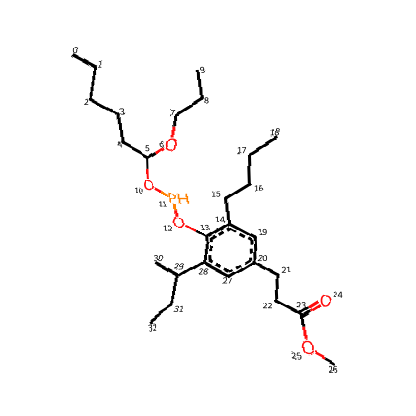 CCCCCC(OCCC)OPOc1c(CCCC)cc(CCC(=O)OC)cc1C(C)CC